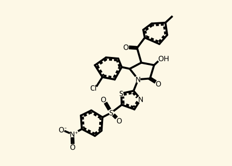 Cc1ccc(C(=O)C2C(O)C(=O)N(c3ncc(S(=O)(=O)c4ccc([N+](=O)[O-])cc4)s3)C2c2cccc(Cl)c2)cc1